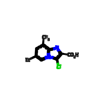 CCc1cc(C(F)(F)F)c2nc(C(=O)O)c(Cl)n2c1